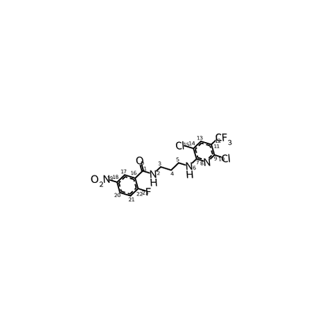 O=C(NCCCNc1nc(Cl)c(C(F)(F)F)cc1Cl)c1cc([N+](=O)[O-])ccc1F